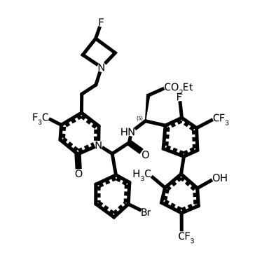 CCOC(=O)C[C@H](NC(=O)C(c1cccc(Br)c1)n1cc(CCN2CC(F)C2)c(C(F)(F)F)cc1=O)c1cc(-c2c(C)cc(C(F)(F)F)cc2O)cc(C(F)(F)F)c1F